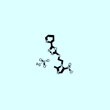 Cc1ncc([N+](=O)[O-])n1CCSc1nnc(-c2ccccn2)o1.O=[N+]([O-])[O-].[Ag+]